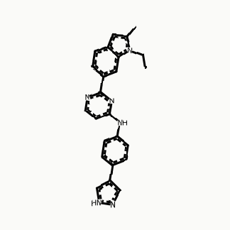 CCn1c(C)cc2ccc(-c3nccc(Nc4ccc(-c5cn[nH]c5)cc4)n3)cc21